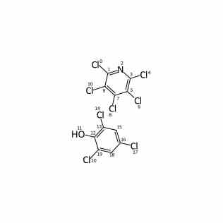 Clc1nc(Cl)c(Cl)c(Cl)c1Cl.Oc1c(Cl)cc(Cl)cc1Cl